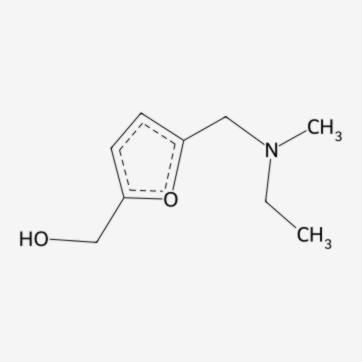 CCN(C)Cc1ccc(CO)o1